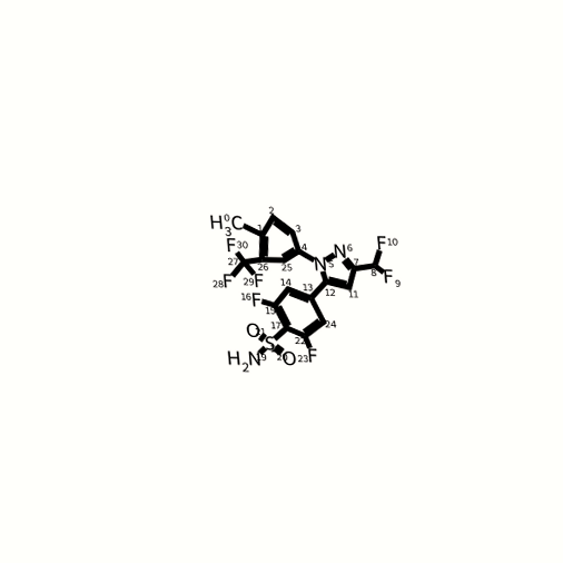 Cc1ccc(-n2nc(C(F)F)cc2-c2cc(F)c(S(N)(=O)=O)c(F)c2)cc1C(F)(F)F